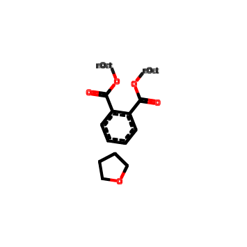 C1CCOC1.CCCCCCCCOC(=O)c1ccccc1C(=O)OCCCCCCCC